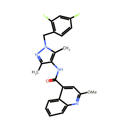 COc1cc(C(=O)Nc2c(C)nn(Cc3ccc(F)cc3F)c2C)c2ccccc2n1